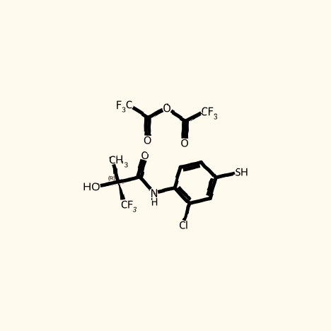 C[C@@](O)(C(=O)Nc1ccc(S)cc1Cl)C(F)(F)F.O=C(OC(=O)C(F)(F)F)C(F)(F)F